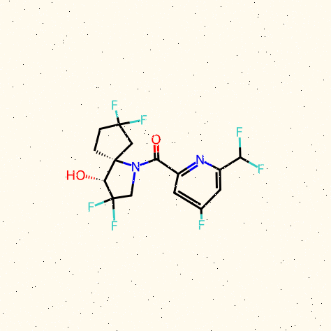 O=C(c1cc(F)cc(C(F)F)n1)N1CC(F)(F)[C@H](O)[C@]12CCC(F)(F)C2